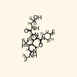 CC(C)Nc1cc(C(F)(F)F)c(-c2sc(C(=O)NCC(C)(C)O)nc2C(=O)N2CCC(F)CC2)cn1